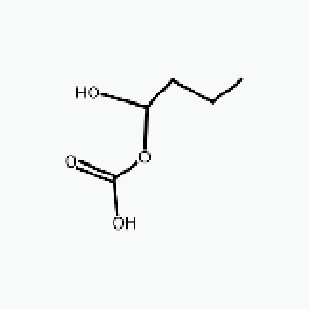 CCCC(O)OC(=O)O